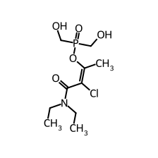 CCN(CC)C(=O)/C(Cl)=C(/C)OP(=O)(CO)CO